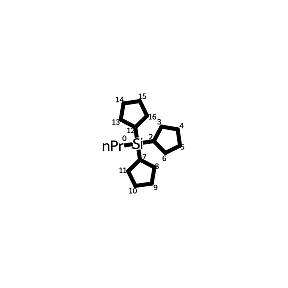 CCC[Si](C1CCCC1)(C1CCCC1)C1CCCC1